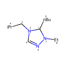 CCCCC1N(CC(C)C)C=NN1CC